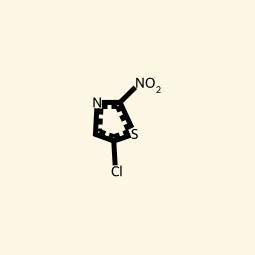 O=[N+]([O-])c1ncc(Cl)s1